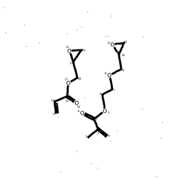 C=C(C)C(=O)OCCOCC1CO1.C=CC(=O)OCC1CO1